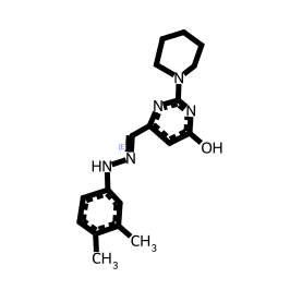 Cc1ccc(N/N=C/c2cc(O)nc(N3CCCCC3)n2)cc1C